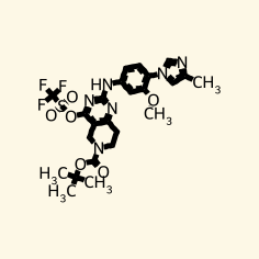 COc1cc(Nc2nc3c(c(OS(=O)(=O)C(F)(F)F)n2)CN(C(=O)OC(C)(C)C)CC3)ccc1-n1cnc(C)c1